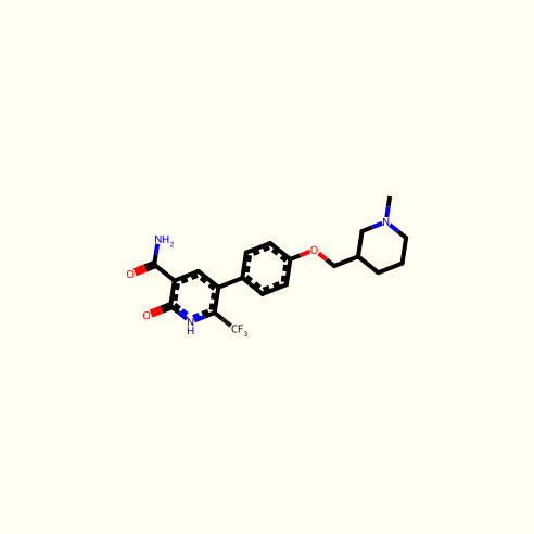 CN1CCCC(COc2ccc(-c3cc(C(N)=O)c(=O)[nH]c3C(F)(F)F)cc2)C1